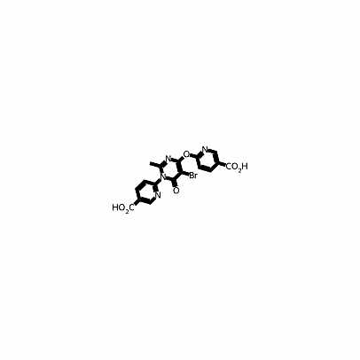 Cc1nc(Oc2ccc(C(=O)O)cn2)c(Br)c(=O)n1-c1ccc(C(=O)O)cn1